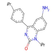 CC(C)c1ccc(-c2nc(=O)n(C(C)C)c3ccc(N)cc23)cc1